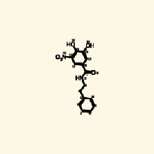 O=C(NCCc1ccccc1)c1cc(O)c(O)c([N+](=O)[O-])c1